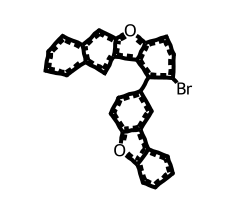 Brc1ccc2oc3cc4ccccc4cc3c2c1-c1ccc2oc3ccccc3c2c1